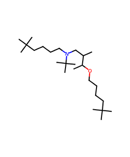 CC(CN(CCCCC(C)(C)C)C(C)(C)C)C(C)OCCCCC(C)(C)C